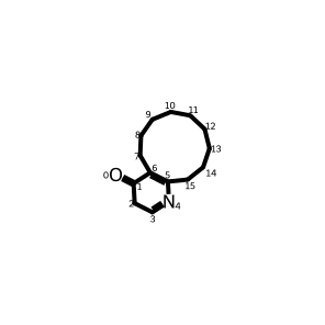 O=C1CC=NC2=C1CCCCCCCCC2